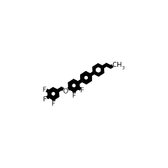 CCCC1CCC(c2ccc(-c3ccc(OCc4cc(F)c(F)c(F)c4)c(F)c3F)cc2)CC1